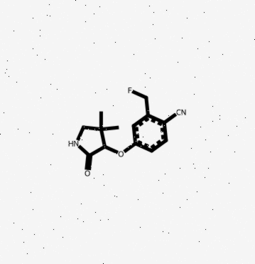 CC1(C)CNC(=O)C1Oc1ccc(C#N)c(CF)c1